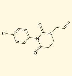 C=CCN1CCC(=O)N(c2ccc(Cl)cc2)C1=O